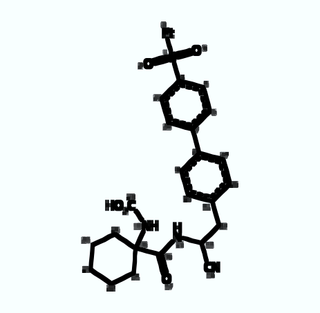 CCS(=O)(=O)c1ccc(-c2ccc(CC(C#N)NC(=O)C3(NC(=O)O)CCCCC3)cc2)cc1